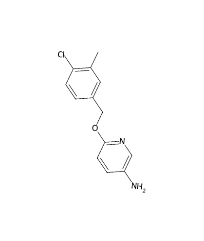 Cc1cc(COc2ccc(N)cn2)ccc1Cl